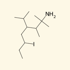 CCC(I)CC(C(C)C)C(C)C(C)(C)N